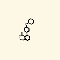 c1cc2c(c(-c3ccc(OC4CCCCC4)cc3)c1)NSCO2